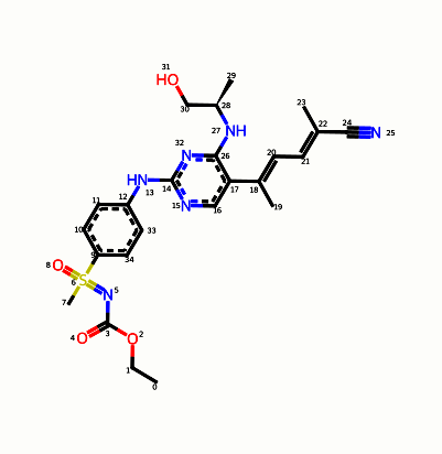 CCOC(=O)N=S(C)(=O)c1ccc(Nc2ncc(/C(C)=C/C=C(\C)C#N)c(N[C@H](C)CO)n2)cc1